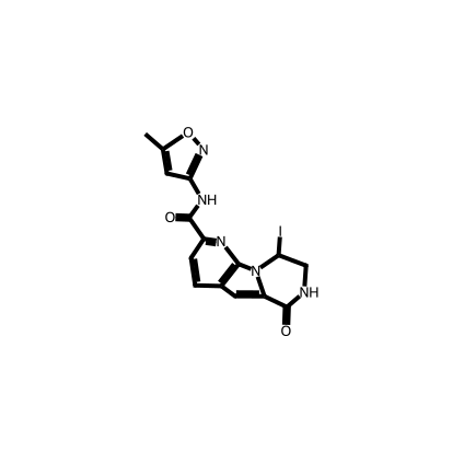 Cc1cc(NC(=O)c2ccc3cc4n(c3n2)C(I)CNC4=O)no1